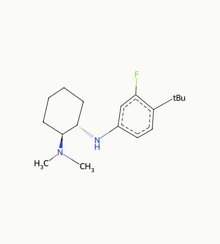 CN(C)[C@H]1CCCC[C@@H]1Nc1ccc(C(C)(C)C)c(F)c1